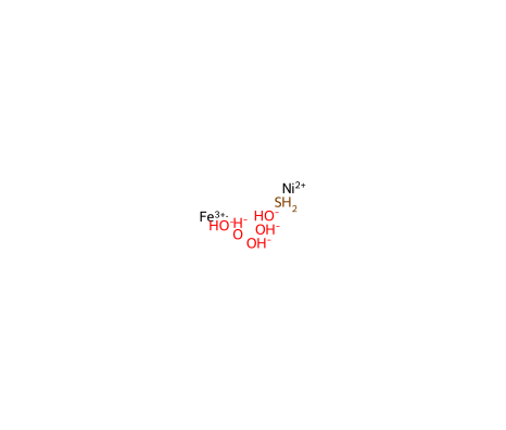 S.[Fe+3].[Ni+2].[OH-].[OH-].[OH-].[OH-].[OH-]